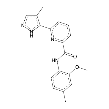 COc1cc(C)ccc1NC(=O)c1cccc(-c2[nH]ncc2C)n1